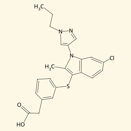 CCCn1cc(-n2c(C)c(Sc3cccc(CC(=O)O)c3)c3ccc(Cl)cc32)cn1